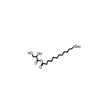 CCCCCCCCCCCCCCCCCCCCCC(=O)OC(=O)C(O)CO